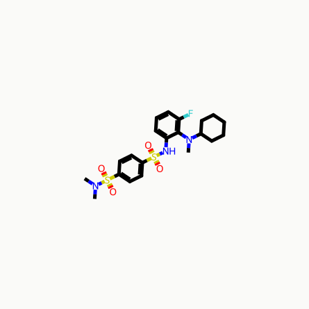 CN(c1c(F)cccc1NS(=O)(=O)c1ccc(S(=O)(=O)N(C)C)cc1)C1CCCCC1